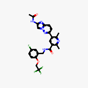 CC(=O)Nc1cn2nc(-c3cc(C(=O)NCc4cc(F)ccc4OCC(F)(F)F)c(C)nc3C)ccc2n1